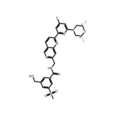 C[C@@H]1CN(c2cc(F)cc(-c3ccc4cnc(CNC(=O)c5cc(CO)cc(S(C)(=O)=O)c5)cc4n3)n2)C[C@H](C)O1